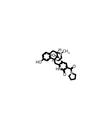 CN1CC[C@]23Cc4[nH]c(=O)c(C(=O)N5CCCC5)cc4C[C@@]2(O)[C@H]1Cc1ccc(O)cc13